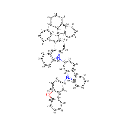 c1ccc([Si](c2ccccc2)(c2ccccc2)c2ccc3c(c2)c2ccccc2n3-c2ccc3c4ccccc4n(-c4ccc5oc6ccccc6c5c4)c3c2)cc1